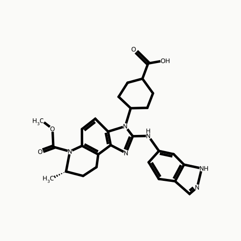 COC(=O)N1c2ccc3c(nc(Nc4ccc5cn[nH]c5c4)n3C3CCC(C(=O)O)CC3)c2CC[C@@H]1C